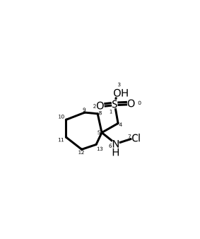 O=S(=O)(O)CC1(NCl)CCCCCC1